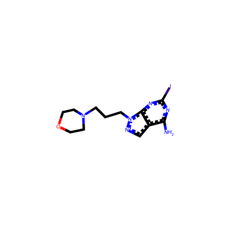 Nc1nc(I)nc2c1cnn2CCCN1CCOCC1